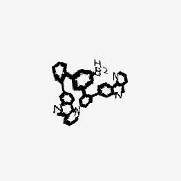 Bc1cc(-c2ccccc2-c2ccc3c(c2)ncc2cccnc23)cc(-c2ccccc2-c2ccc3c(c2)ncc2cccnc23)c1